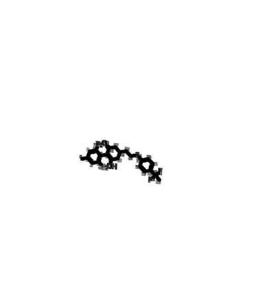 CCc1cc(C)cc(CC)c1C1=C(O)CC(CCSc2ccc(C(C)(F)F)cc2)CC1=O